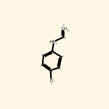 C=[C]Nc1ccc(Cl)cc1